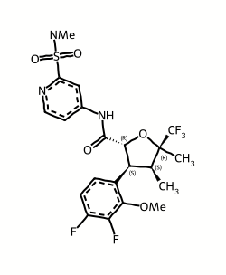 CNS(=O)(=O)c1cc(NC(=O)[C@@H]2O[C@@](C)(C(F)(F)F)[C@@H](C)[C@H]2c2ccc(F)c(F)c2OC)ccn1